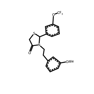 COc1cccc(CCN2C(=O)CSC2c2cccc(OC(F)(F)F)c2)c1